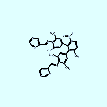 Cc1cc(-c2c(C)ccc([N+](=O)[O-])c2-c2cc(C)c(N=Cc3ccccn3)c(C)c2)cc(C)c1N=Cc1ccccn1